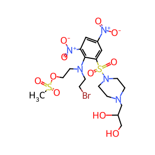 CS(=O)(=O)OCCN(CCBr)c1c([N+](=O)[O-])cc([N+](=O)[O-])cc1S(=O)(=O)N1CCN(CC(O)CO)CC1